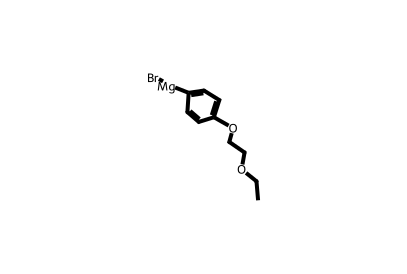 CCOCCOc1cc[c]([Mg][Br])cc1